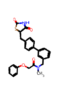 CN(Cc1cccc(-c2ccc(CC3SC(=O)NC3=O)cc2)c1)C(=O)COc1ccccc1